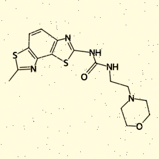 Cc1nc2c(ccc3nc(NC(=O)NCCN4CCOCC4)sc32)s1